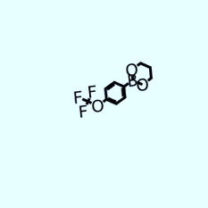 FC(F)(F)Oc1ccc(B2OCCCO2)cc1